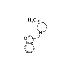 C[C@@H]1CCCN(Cc2coc3ccccc23)C1